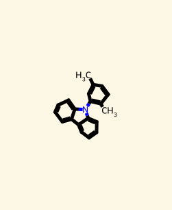 Cc1ccc(C)c(-n2c3ccccc3c3ccccc32)c1